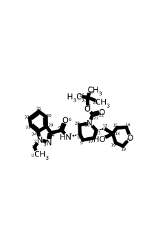 CCn1nc(C(=O)N[C@H]2CC[C@@H](CC3(O)CCOCC3)N(C(=O)OC(C)(C)C)C2)c2ccccc21